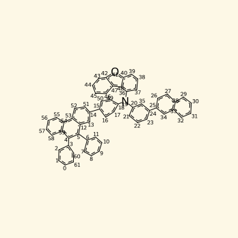 c1ccc(-c2c(-c3ccccc3)c3cc(-c4ccc(N(c5cccc(-c6ccc7ccccc7c6)c5)c5cccc6oc7ccccc7c56)cc4)ccc3c3ccccc23)cc1